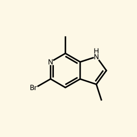 Cc1c[nH]c2c(C)nc(Br)cc12